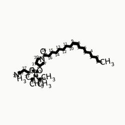 CCCCCCCC/C=C\CCCCCCCC(=O)N1CC[C@H](OP(OCCC#N)N(C(C)C)C(C)C)C1